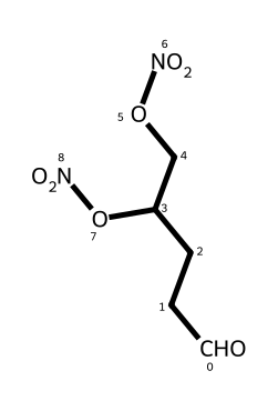 O=CCCC(CO[N+](=O)[O-])O[N+](=O)[O-]